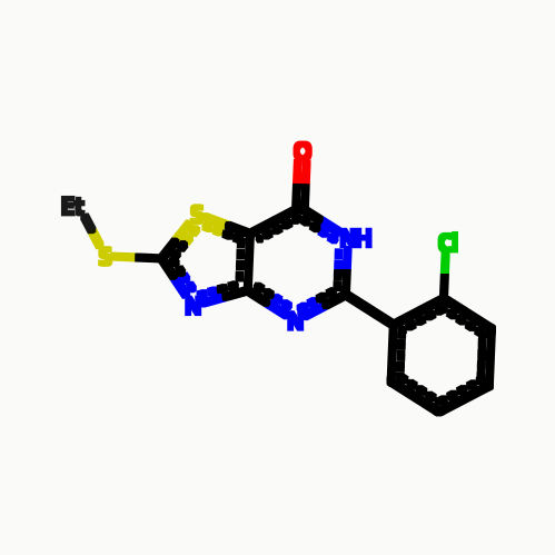 CCSc1nc2nc(-c3ccccc3Cl)[nH]c(=O)c2s1